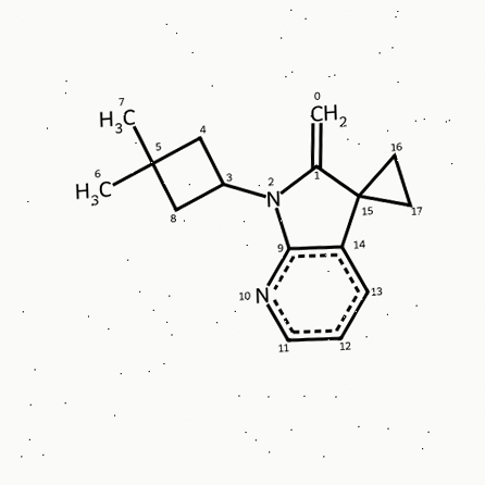 C=C1N(C2CC(C)(C)C2)c2ncccc2C12CC2